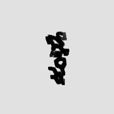 CCc1c(C)cnn1CC1CCC(NC(=O)c2cc(Cl)cnc2C)CC1